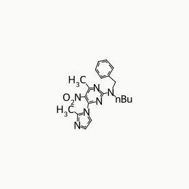 CCCCN(Cc1ccccc1)c1nc(C)c([N+](=O)[O-])c(-n2ccnc2C)n1